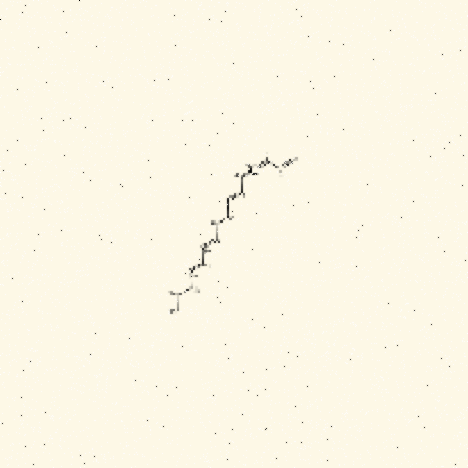 C=CC=C=CC=CCCC=CC=CCCC